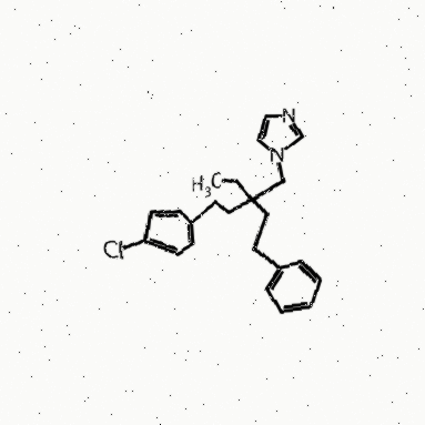 CCC(CCc1ccccc1)(CCc1ccc(Cl)cc1)Cn1ccnc1